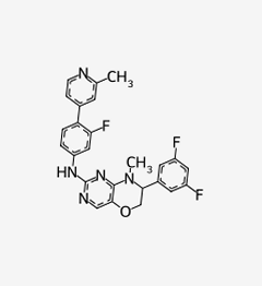 Cc1cc(-c2ccc(Nc3ncc4c(n3)N(C)C(c3cc(F)cc(F)c3)CO4)cc2F)ccn1